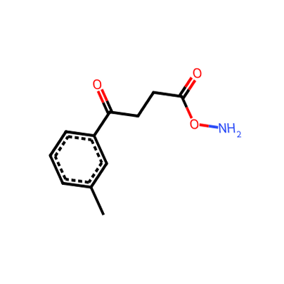 Cc1cccc(C(=O)CCC(=O)ON)c1